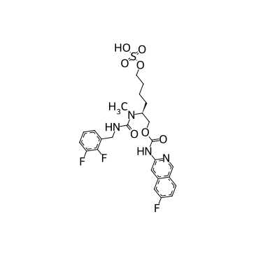 CN(C(=O)NCc1cccc(F)c1F)[C@@H](CCCCOS(=O)(=O)O)COC(=O)Nc1cc2cc(F)ccc2cn1